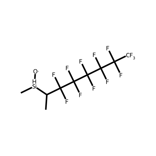 CC([SiH](C)[O])C(F)(F)C(F)(F)C(F)(F)C(F)(F)C(F)(F)C(F)(F)F